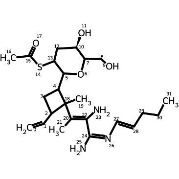 C=CC1CC(C2OC(CO)[C@H](O)CC2SC(C)=O)C1(C)/C(C)=C(N)/C(N)=N\C=C\CCC